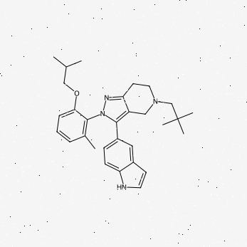 Cc1cccc(OCC(C)C)c1-n1nc2c(c1-c1ccc3[nH]ccc3c1)CN(CC(C)(C)C)CC2